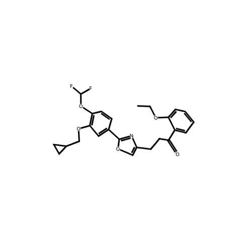 CCOc1ccccc1C(=O)CCc1coc(-c2ccc(OC(F)F)c(OCC3CC3)c2)n1